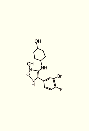 OC1CCC(NC2=C(c3ccc(F)c(Br)c3)NON2O)CC1